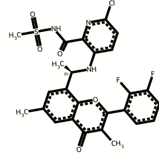 Cc1cc([C@@H](C)Nc2ccc(Cl)nc2C(=O)NS(C)(=O)=O)c2oc(-c3cccc(F)c3F)c(C)c(=O)c2c1